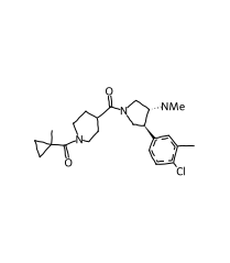 CN[C@H]1CN(C(=O)C2CCN(C(=O)C3(C)CC3)CC2)C[C@@H]1c1ccc(Cl)c(C)c1